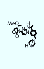 COC(C)[C@H]1COC(=O)N1c1ccnc(NC(C)c2ccc(CN3CCNCC3)cc2)n1